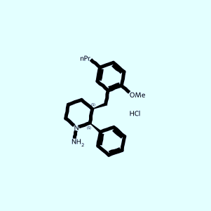 CCCc1ccc(OC)c(C[C@@H]2CCCN(N)[C@@H]2c2ccccc2)c1.Cl